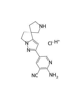 N#Cc1cc(-c2cc3n(n2)CC[C@@]32CCNC2)cnc1N.[Cl-].[H+]